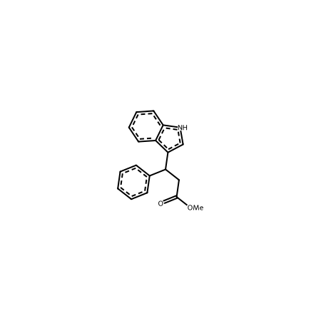 COC(=O)CC(c1ccccc1)c1c[nH]c2ccccc12